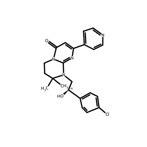 CC1(C)CCn2c(nc(-c3ccncc3)cc2=O)N1C[C@H](O)c1ccc(Cl)cc1